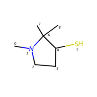 CN1CCC(S)C1(C)C